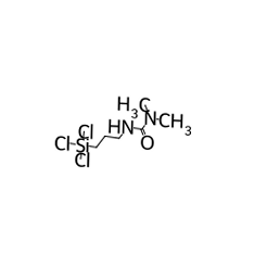 CN(C)C(=O)NCCC[Si](Cl)(Cl)Cl